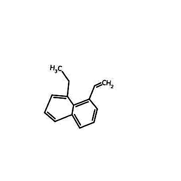 C=Cc1cccc2cccc(CC)c12